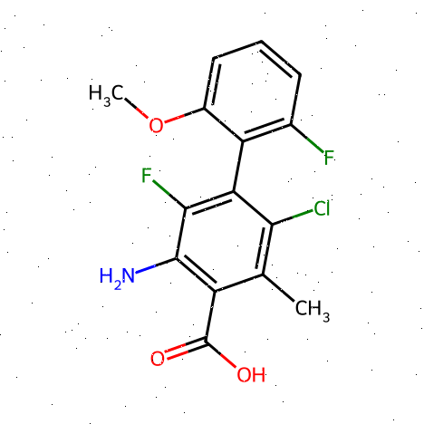 COc1cccc(F)c1-c1c(F)c(N)c(C(=O)O)c(C)c1Cl